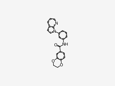 O=C(Nc1cccc(-n2ccc3cccnc32)c1)c1ccc2c(c1)OCCO2